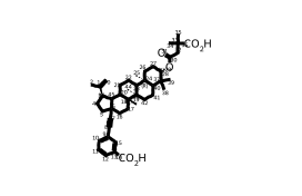 C=C(C)[C@@H]1CCC2(C#Cc3cccc(C(=O)O)c3)CC[C@]3(C)C(CCC4[C@@]5(C)CC[C@H](OC(=O)CC(C)(C)C(=O)O)C(C)(C)C5CC[C@]43C)C12